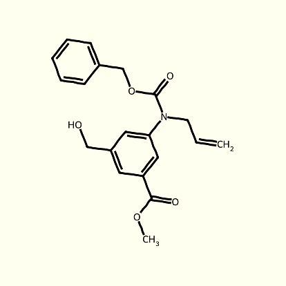 C=CCN(C(=O)OCc1ccccc1)c1cc(CO)cc(C(=O)OC)c1